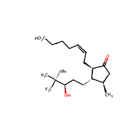 CCCC[C@](C)([C@H](O)CC[C@H]1[C@H](C)CC(=O)[C@@H]1C/C=C\CCCC(=O)O)C(F)(F)F